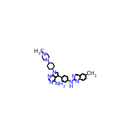 Cc1ccc2nc(Nc3ccc(-c4cn([C@H]5CC[C@H](N6CCN(C)CC6)CC5)c5ncnc(N)c45)cc3)ncc2c1